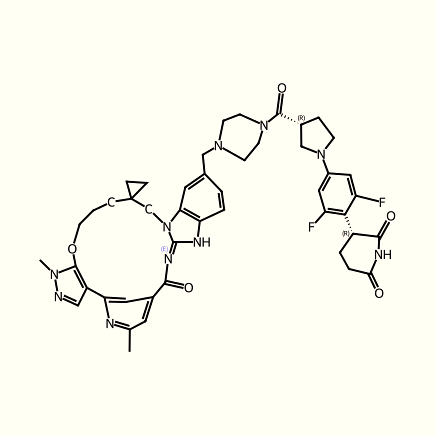 Cc1cc2cc(n1)-c1cnn(C)c1OCCCC1(CC1)CN1/C(=N/C2=O)Nc2ccc(CN3CCN(C(=O)[C@@H]4CCN(c5cc(F)c([C@H]6CCC(=O)NC6=O)c(F)c5)C4)CC3)cc21